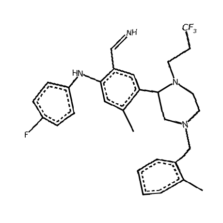 Cc1ccccc1CN1CCN(CCC(F)(F)F)C(c2cc(C=N)c(Nc3ccc(F)cc3)cc2C)C1